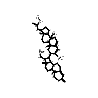 C=C1C=C2CCC3C(CCC4(C)C(CC=O)C(C5CC6(C)C(=CCC7(N)C6CCC6(C)C(CC(C)OCC)CCC67)C=C5OCC)C34)C2(C)CC1